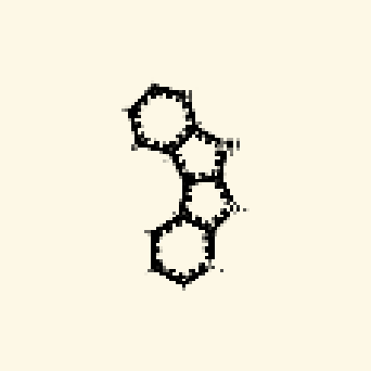 c1cnc2[nH]c3oc4ncccc4c3c2c1